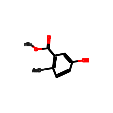 CCCCOC(=O)c1cc(O)ccc1OC(C)=O